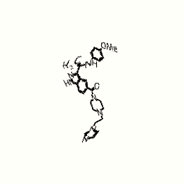 C=C(Nc1ccc(OC)cc1)c1n[nH]c2ccc(C(=O)N3CCN(CCn4ccnc4)CC3)cc12